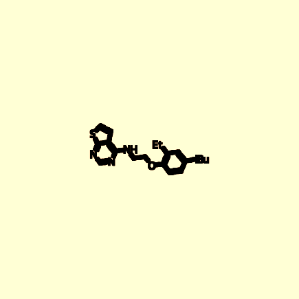 CCc1cc(C(C)CC)ccc1OCCNc1ncnc2sccc12